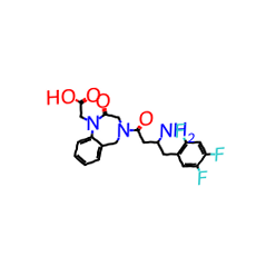 NC(CC(=O)N1CC(=O)N(CC(=O)O)c2ccccc2C1)Cc1cc(F)c(F)cc1F